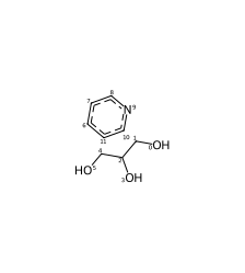 OCC(O)CO.c1ccncc1